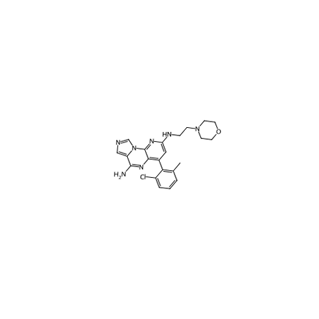 Cc1cccc(Cl)c1-c1cc(NCCN2CCOCC2)nc2c1nc(N)c1cncn12